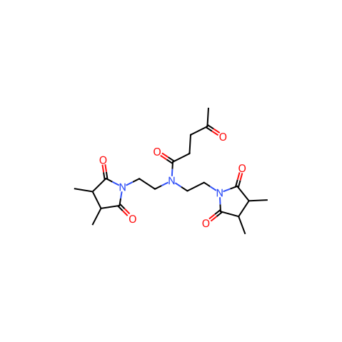 CC(=O)CCC(=O)N(CCN1C(=O)C(C)C(C)C1=O)CCN1C(=O)C(C)C(C)C1=O